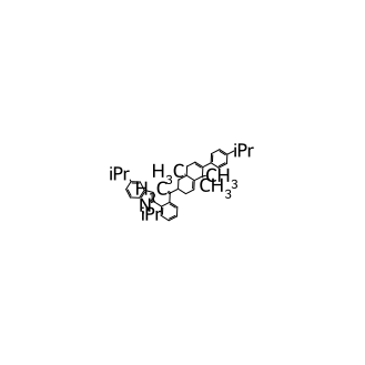 C=C(c1ccccc1-c1cc2cc(C(C)C)ccc2n1C(C)C)C1CC=C2C(C)(C)C(c3ccc(C(C)C)cc3)=CC[C@]2(C)C1